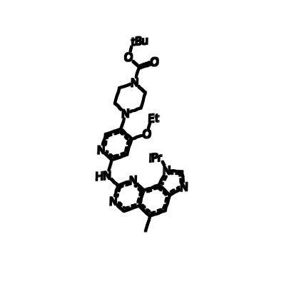 CCOc1cc(Nc2ncc3c(C)cc4ncn(C(C)C)c4c3n2)ncc1N1CCN(C(=O)OC(C)(C)C)CC1